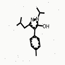 Cc1ccc(-c2c(CC(C)C)nn(C(C)C)c2O)cc1